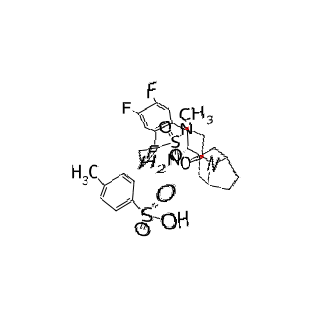 CN(CC(=O)N1C2CCC1CC([C@H](N)Cc1cc(F)c(F)cc1F)C2)S(=O)(=O)C1CC1.Cc1ccc(S(=O)(=O)O)cc1